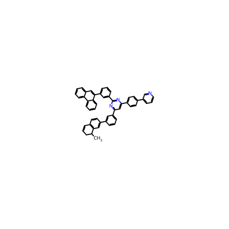 CC1CC=Cc2ccc(-c3cccc(-c4cc(-c5ccc(-c6cccnc6)cc5)nc(-c5cccc(-c6cc7ccccc7c7ccccc67)c5)n4)c3)cc21